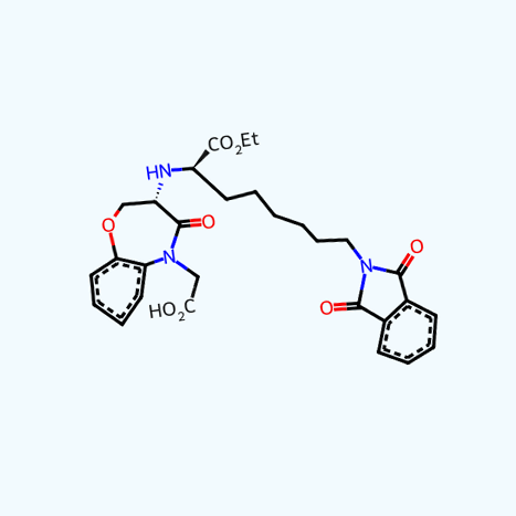 CCOC(=O)[C@@H](CCCCCCN1C(=O)c2ccccc2C1=O)N[C@H]1COc2ccccc2N(CC(=O)O)C1=O